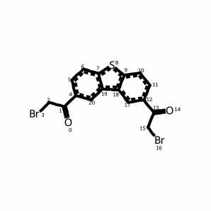 O=C(CBr)c1ccc2sc3ccc(C(=O)CBr)cc3c2c1